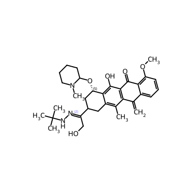 C=C1c2cccc(OC)c2C(=O)c2c(O)c3c(c(C)c21)CC(/C(CO)=N/NC(C)(C)C)C[C@@H]3OC1CCCCN1C